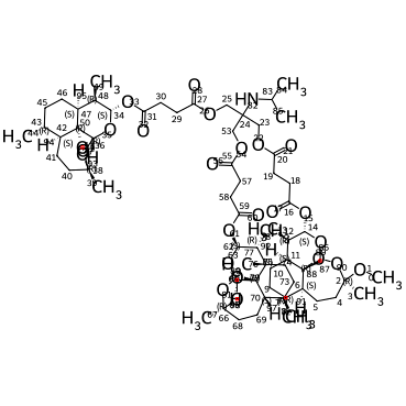 CO[C@@]1(C)CC[C@H]2[C@H](C)CC[C@H]3[C@@H](C)[C@H](OC(=O)CCC(=O)OCC(COC(=O)CCC(=O)O[C@@H]4O[C@@H]5O[C@@]6(C)CC[C@H]7[C@H](C)CC[C@@H]([C@H]4C)[C@@]57OO6)(COC(=O)CCC(=O)O[C@@H]4O[C@@H]5O[C@@]6(C)CC[C@H]7[C@H](C)CC[C@@](C)([C@H]4C)[C@@]57OO6)NC(C)C)OC[C@]32OO1